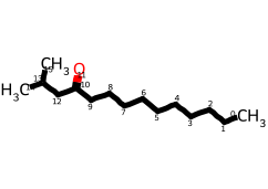 CCCCCCCCCCC(=O)CC(C)C